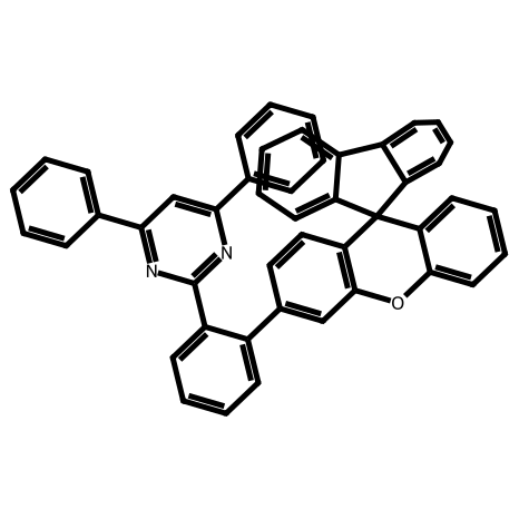 c1ccc(-c2cc(-c3ccccc3)nc(-c3ccccc3-c3ccc4c(c3)Oc3ccccc3C43c4ccccc4-c4ccccc43)n2)cc1